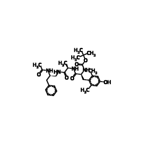 CC(=O)N[C@H](CNC(=O)[C@@H](C)NC(=O)[C@H](Cc1c(C)cc(O)cc1C)NC(=O)OC(C)(C)C)Cc1ccccc1